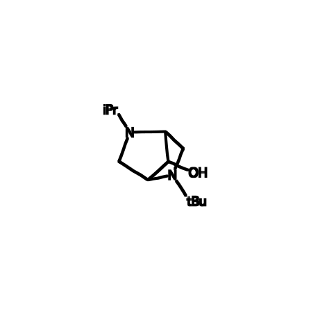 CC(C)N1CC2C(O)C1CN2C(C)(C)C